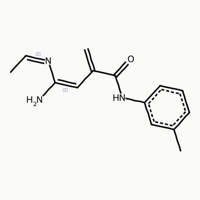 C=C(/C=C(N)\N=C/C)C(=O)Nc1cccc(C)c1